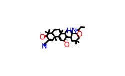 CCC(=O)NC12CCC3C(C(=O)C=C4C5(C)C=C(C#N)C(=O)C(C)(C)C5CCC43C)C1CC(C)(C)CC2